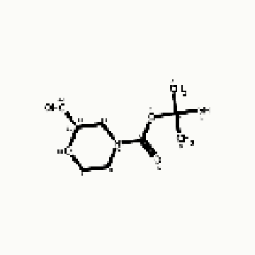 CC(C)(S)OC(=O)N1CCO[C@@H](C=O)C1